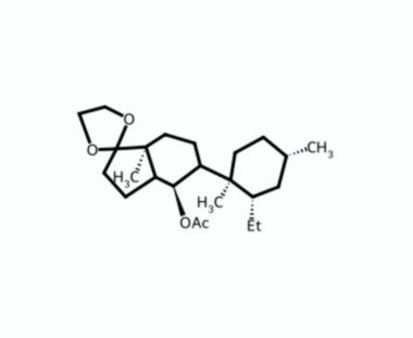 CC[C@H]1C[C@@H](C)CC[C@]1(C)C1CC[C@@]2(C)C(CCC23OCCO3)[C@@H]1OC(C)=O